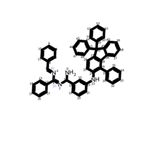 NC(/N=C(\N=C\c1ccccc1)c1ccccc1)c1cccc(Nc2ccc3c(c2-c2ccccc2)-c2ccccc2C3(c2ccccc2)c2ccccc2)c1